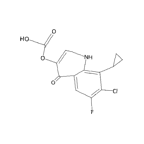 O=C(O)Oc1c[nH]c2c(C3CC3)c(Cl)c(F)cc2c1=O